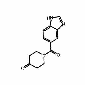 O=C1CCN(C(=O)c2ccc3[nH]cnc3c2)CC1